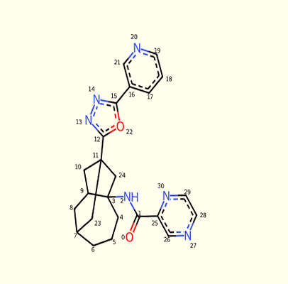 O=C(NC12CCCC3CC1CC(c1nnc(-c4cccnc4)o1)(C3)C2)c1cnccn1